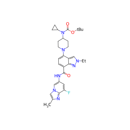 CCn1cc2c(N3CCC(N(C(=O)OC(C)(C)C)C4CC4)CC3)ccc(C(=O)Nc3cc(F)c4nc(C)cn4c3)c2n1